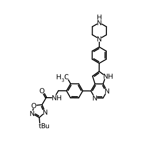 Cc1cc(-c2ncnc3[nH]c(-c4ccc(N5CCNCC5)cc4)cc23)ccc1CNC(=O)c1nc(C(C)(C)C)no1